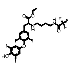 CCOC(=O)C(Cc1cc(I)c(Oc2cc(I)c(O)c(I)c2)c(I)c1)NCCCCNC(=O)C(F)(F)F